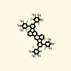 [2H]c1c([2H])c(F)c(-c2cc(-c3c(F)c([2H])c([2H])c([2H])c3F)c3c(c2)c2cc4c(cc5c6cc(-c7c(F)c([2H])c([2H])c([2H])c7F)cc(-c7c(F)c([2H])c([2H])c([2H])c7F)c6c6cccc4c56)c4cccc3c42)c(F)c1[2H]